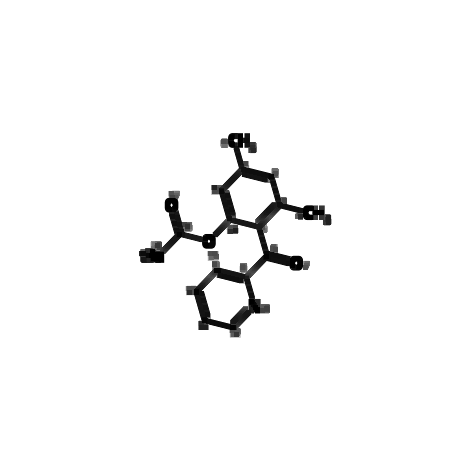 Cc1cc(C)c(C(=O)c2ccccn2)c(OC(=O)C(C)(C)C)c1